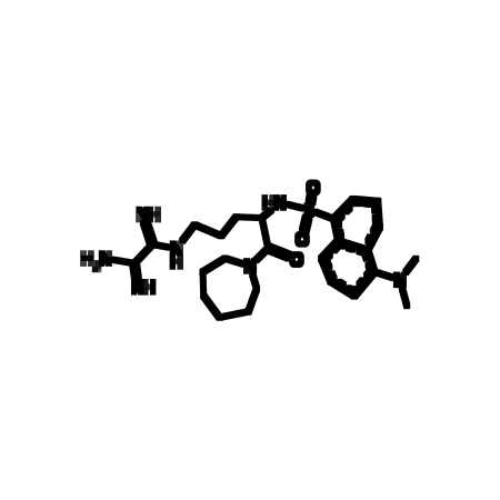 CN(C)c1cccc2c(S(=O)(=O)NC(CCCNC(=N)C(=N)N)C(=O)N3CCCCCC3)cccc12